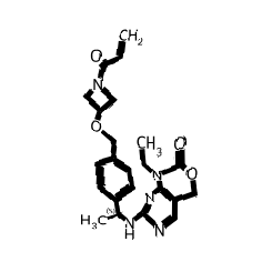 C=CC(=O)N1CC(OCc2ccc([C@H](C)Nc3ncc4c(n3)N(CC)C(=O)OC4)cc2)C1